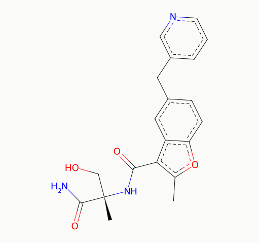 Cc1oc2ccc(Cc3cccnc3)cc2c1C(=O)N[C@@](C)(CO)C(N)=O